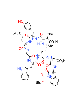 CSCC[C@H](NC(=O)[C@H](Cc1ccc(O)cc1)NC(=O)[C@@H](N)C(C(=O)O)C(C)(C)C)C(=O)NCC(=O)N[C@@H](Cc1c[nH]c2ccccc12)C(=O)N[C@@H](CCSC)C(=O)N[C@@H](CC(=O)O)C(=O)N[C@@H](Cc1ccccc1)C(=O)NC(=O)OC(C)(C)C